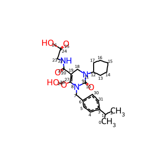 CC(C)c1ccc(CN2C(=O)N(C3CCCCC3)CC(C(=O)NCC(=O)O)=C2OO)cc1